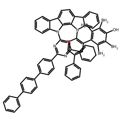 Bc1c(B)c(-c2cc(-c3ccccc3)ccc2-n2c3ccccc3c3ccc4c5ccccc5n(-c5nc(C6=CCCC=C6)nc(-c6ccc(-c7ccc(-c8ccccc8)cc7)cc6)n5)c4c32)c(B)c(B)c1O